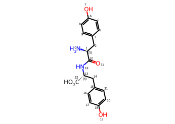 N[C@@H](Cc1ccc(O)cc1)C(=O)N[C@H](Cc1ccc(O)cc1)C(=O)O